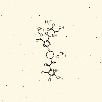 CCOC(=O)c1sc(N2CC[C@@H](NC(=O)c3[nH]c(C)c(Cl)c3Cl)[C@@H](OC)C2)nc1C(=O)NC(CO)C(=O)OC